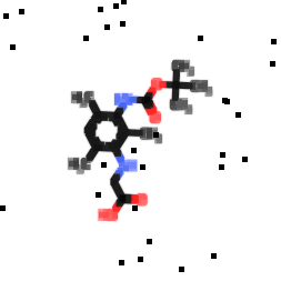 Cc1cc(C)c(NC(=O)OC(C)(C)C)c(C)c1NCC(=O)O